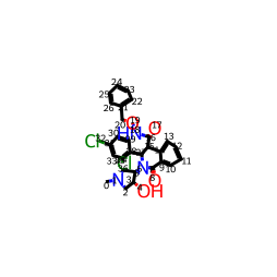 CN1CC(O)C(N2C(=O)c3ccccc3C(C(=O)NOCc3ccccc3)C2c2ccc(Cl)cc2Cl)C1